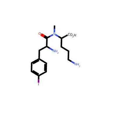 CN(C(=O)C(N)Cc1ccc(I)cc1)C(CCCN)C(=O)O